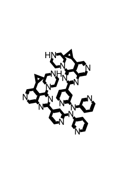 c1cncc(N(c2cc(-c3nc(N4CCNCC4)c4c(C5CC5)cncc4n3)ccn2)N(c2cccnc2)c2cc(-c3nc(N4CCNCC4)c4c(C5CC5)cncc4n3)ccn2)c1